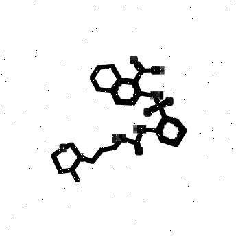 CC1CCCCN1CCCNC(=O)Nc1ccccc1S(=O)(=O)Nc1ccc2c(c1C(=O)O)CCCC2